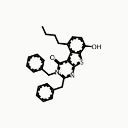 CCCCc1ccc(O)c2sc3nc(Cc4ccccc4)n(Cc4ccccc4)c(=O)c3c12